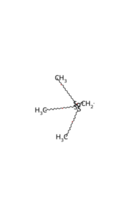 [CH2]Cc1cc(SCCCCCCCCCCCCCCCCCCC)c(SCCCCCCCCCCCCCCCCCCC)c(SCCCCCCCCCCCCCCCCCCC)c1